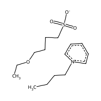 CCCC[n+]1ccccc1.CCOCCCCS(=O)(=O)[O-]